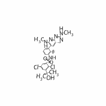 CNc1ncc2cc(-c3cccc(NS(=O)(=O)c4cc(Cl)cc(C(C)(C)O)c4Cl)c3F)c(NC)nc2n1